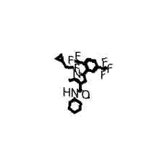 CC1=C(C(=O)NC2CCCCC2)CC(c2cc(C(F)(F)F)ccc2C(F)(F)F)N1CCC1CC1